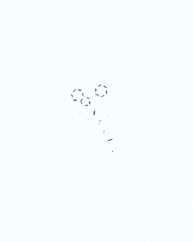 CC(C)n1c(/C=C/[C@H](O)C[C@H](O)CC(=O)OC(C)(C)C)c(-c2ccc(F)cc2)c2ccccc21